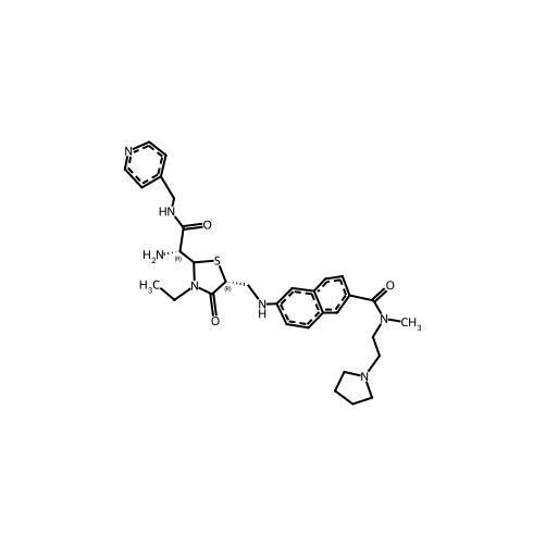 CCN1C(=O)[C@@H](CNc2ccc3cc(C(=O)N(C)CCN4CCCC4)ccc3c2)SC1[C@H](N)C(=O)NCc1ccncc1